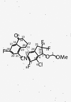 COCO[C@H]1c2c(Cl)c(F)cc([C@H]3CCC(=O)c4cc(F)cc(C#N)c43)c2CC1(F)F